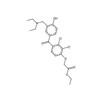 CCOC(=O)COc1ccc(C(=O)c2ccc(O)c(CN(CC)CC)c2)c(Cl)c1Cl